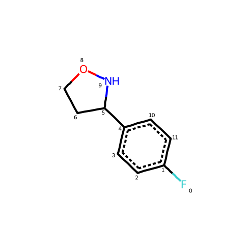 Fc1ccc(C2CCON2)cc1